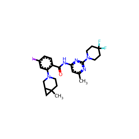 Cc1cc(NC(=O)c2ccc(I)cc2N2CCC3(C)CC3C2)nc(N2CCC(F)(F)CC2)n1